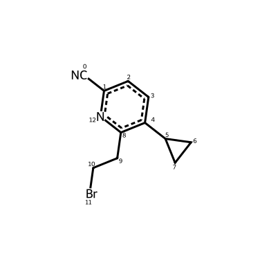 N#Cc1ccc(C2CC2)c(CCBr)n1